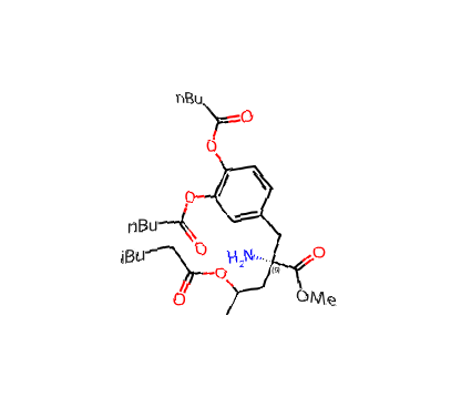 CCCCC(=O)Oc1ccc(C[C@](N)(CC(C)OC(=O)CC(C)CC)C(=O)OC)cc1OC(=O)CCCC